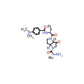 CC[C@H](C)[C@H](N)C(=O)N1CC(=O)[C@@H]2[C@H]1CCN2C(=O)[C@H](CC(C)C)NC(=O)c1ccc(N(C)C)cc1